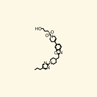 CCCc1cnc(N2CCC(Cc3nc4ccc(C5=CCN(S(=O)(=O)CCCO)CC5)cc4o3)CC2)nc1